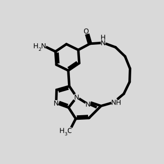 Cc1cc2nn3c(cnc13)C1=CC(CC(N)=C1)C(=O)NCCCCCN2